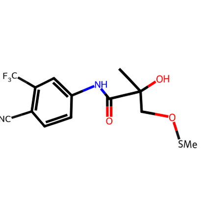 CSOCC(C)(O)C(=O)Nc1ccc(C#N)c(C(F)(F)F)c1